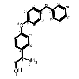 N[C@@H](CO)c1ccc(Oc2ccc(Cc3ccccc3)cc2)cc1